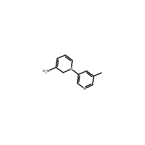 Cc1cncc(N2C=CC=C(N)C2)c1